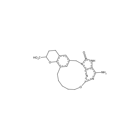 Nc1nc2nc3c1[nH]c(=O)n3Cc1cc(c3c(c1)CCC(C(=O)O)O3)CCCCCO2